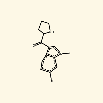 Cn1cc(C(=O)C2CCCN2)c2ccc(Br)cc21